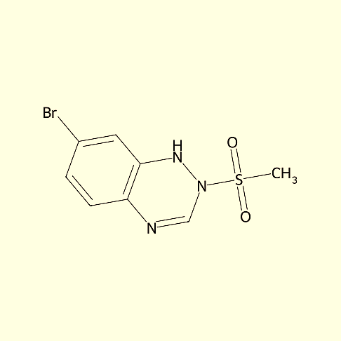 CS(=O)(=O)N1C=Nc2ccc(Br)cc2N1